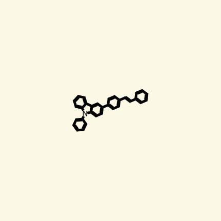 C(=Cc1ccc(-c2ccc3c(c2)c2ccccc2n3-c2ccccc2)cc1)c1ccccc1